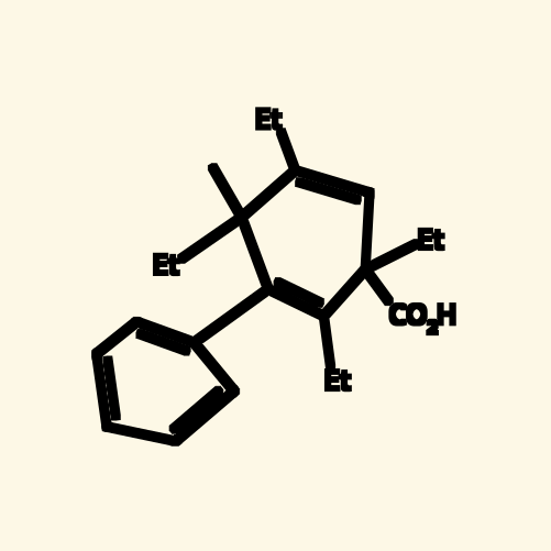 CCC1=CC(CC)(C(=O)O)C(CC)=C(c2ccccc2)C1(C)CC